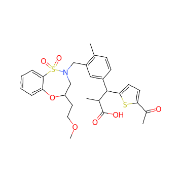 COCCC1CN(Cc2cc(C(c3ccc(C(C)=O)s3)C(C)C(=O)O)ccc2C)S(=O)(=O)c2ccccc2O1